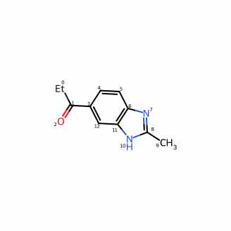 CCC(=O)c1ccc2nc(C)[nH]c2c1